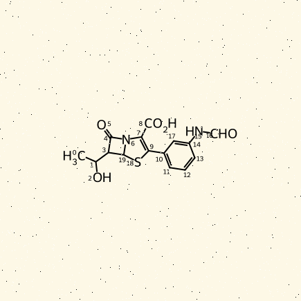 CC(O)C1C(=O)N2C(C(=O)O)=C(c3cccc(NC=O)c3)SC12